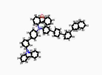 c1cc(-c2ccc(-c3ccc(N(c4ccc(-c5cccc(-n6c7ccccc7c7ccccc76)c5)cc4)c4cccc5oc6ccccc6c45)cc3)cc2)cc(-c2ccc3ccccc3c2)c1